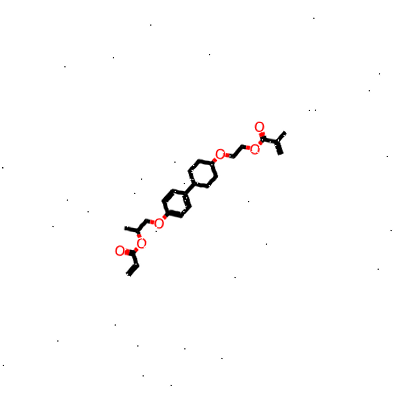 C=CC(=O)OC(C)COc1ccc(C2CCC(OCCOC(=O)C(=C)C)CC2)cc1